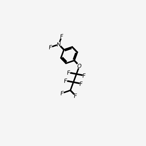 FC(F)C(F)(F)C(F)(F)Oc1ccc(N(F)F)cc1